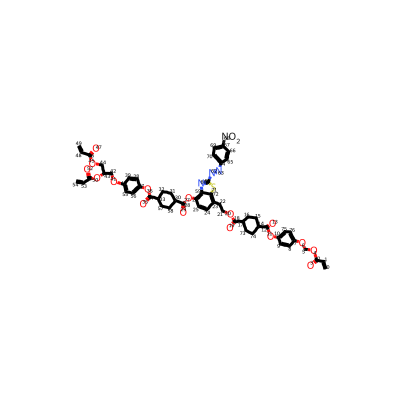 C=CC(=O)OCOc1ccc(OC(=O)C2CCC(C(=O)OCCc3ccc(OC(=O)C4CCC(C(=O)Oc5ccc(OCC(COC(=O)C=C)OC(=O)C=C)cc5)CC4)c4nc(/N=N/c5ccc([N+](=O)[O-])cc5)sc34)CC2)cc1